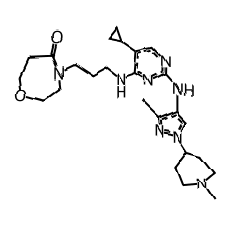 Cc1nn(C2CCN(C)CC2)cc1Nc1ncc(C2CC2)c(NCCCN2CCOCCC2=O)n1